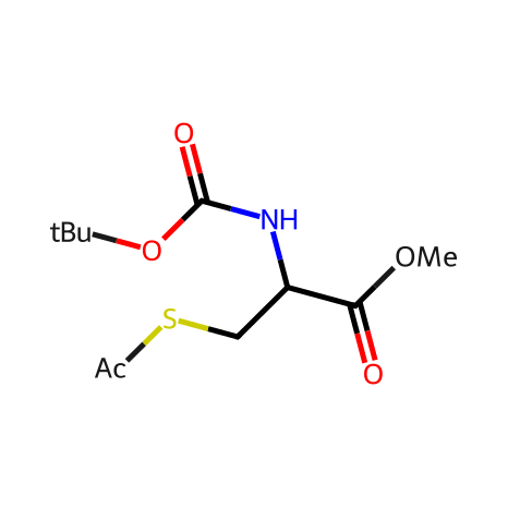 COC(=O)C(CSC(C)=O)NC(=O)OC(C)(C)C